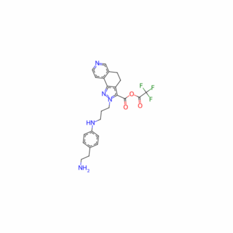 NCCc1ccc(NCCCn2nc3c(c2C(=O)OC(=O)C(F)(F)F)CCc2cnccc2-3)cc1